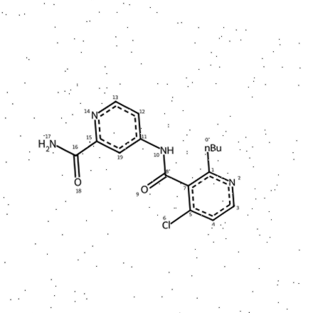 CCCCc1nccc(Cl)c1C(=O)Nc1ccnc(C(N)=O)c1